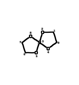 C1CO[Si]2(O1)OCCO2